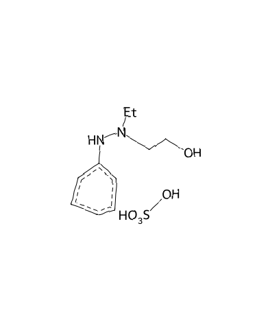 CCN(CCO)Nc1ccccc1.O=S(=O)(O)O